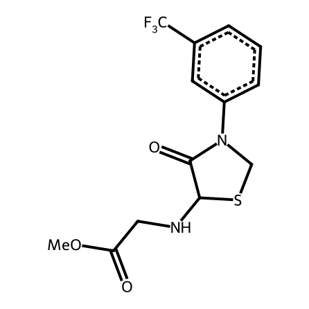 COC(=O)CNC1SCN(c2cccc(C(F)(F)F)c2)C1=O